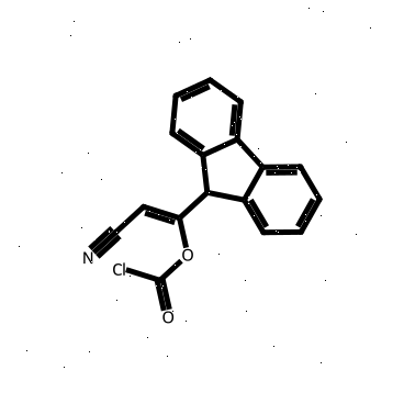 N#CC=C(OC(=O)Cl)C1c2ccccc2-c2ccccc21